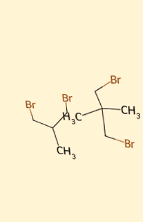 CC(C)(CBr)CBr.CC(CBr)CBr